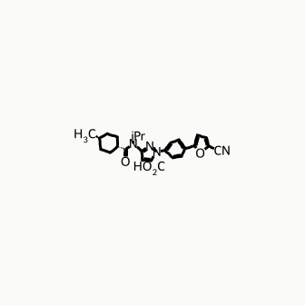 CC(C)N(c1nn(-c2ccc(-c3ccc(C#N)o3)cc2)cc1C(=O)O)C(=O)[C@H]1CC[C@H](C)CC1